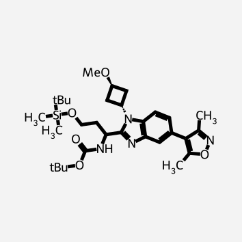 CO[C@H]1C[C@H](n2c(C(CCO[Si](C)(C)C(C)(C)C)NC(=O)OC(C)(C)C)nc3cc(-c4c(C)noc4C)ccc32)C1